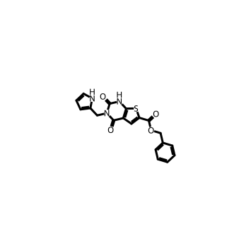 O=C(OCc1ccccc1)c1cc2c(=O)n(Cc3ccc[nH]3)c(=O)[nH]c2s1